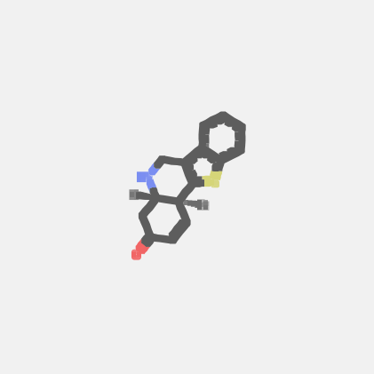 CC[C@]12C=CC(=O)C[C@@H]1NCc1c2sc2ccccc12